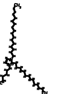 CCCCCCCCCCCCCCCCCN1C=CN(CCCCCC)C1CCCCCCCCCCCCCC